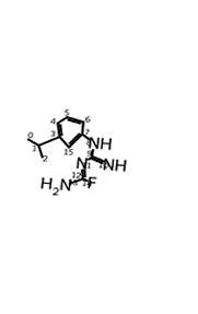 CC(C)c1cccc(NC(=N)/N=C(/N)F)c1